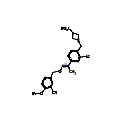 CCc1cc(/C(C)=N/OCc2ccc(OC(C)C)c(C#N)c2)ccc1CN1CC(C(=O)O)C1